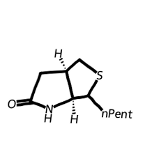 CCCCCC1SC[C@@H]2CC(=O)N[C@H]12